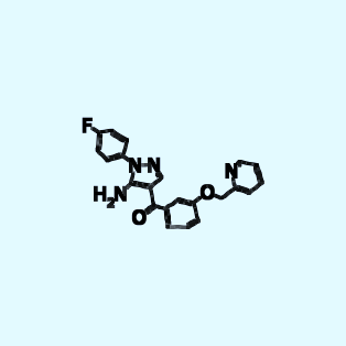 Nc1c(C(=O)c2cccc(OCc3ccccn3)c2)cnn1-c1ccc(F)cc1